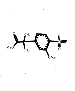 COC(=O)C(C)(C)c1ccc(S(=O)(=O)Cl)c(OC)c1